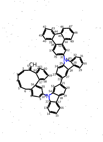 C=C1/C=C\C=C/Cc2ccc(-n3c4ccccc4c4ccc(-c5ccc6c(c5)c5ccccc5n6-c5ccc6c7ccccc7c7ccccc7c6c5)cc43)cc2-c2ccccc21